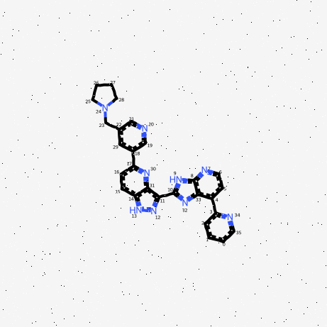 c1ccc(-c2ccnc3[nH]c(-c4n[nH]c5ccc(-c6cncc(CN7CCCC7)c6)nc45)nc23)nc1